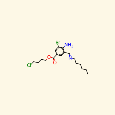 CCCCCCN=Cc1cc(C(=O)OCCCCCl)cc(Br)c1N